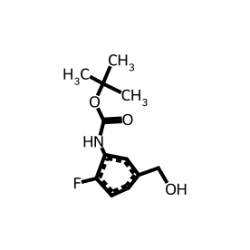 CC(C)(C)OC(=O)Nc1cc(CO)ccc1F